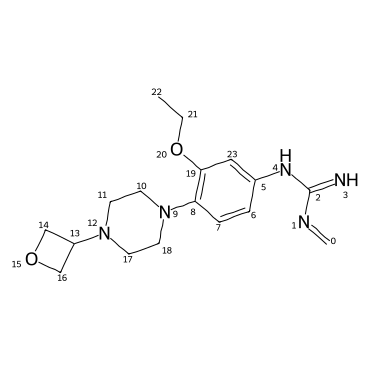 C=NC(=N)Nc1ccc(N2CCN(C3COC3)CC2)c(OCC)c1